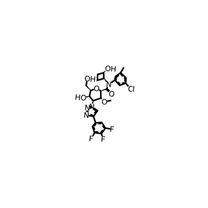 CO[C@@H]1[C@@H](n2cc(-c3cc(F)c(F)c(F)c3)nn2)[C@@H](O)[C@@H](CO)O[C@H]1C(=O)N(c1cc(C)cc(Cl)c1)[C@H]1CC[C@@H]1O